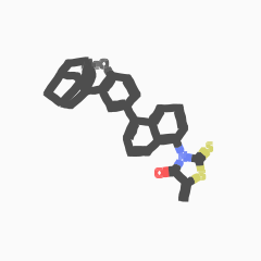 C=C1SC(=S)N(c2cccc3c(-c4ccc(OC)c(C56CC7CC(CC(C7)C5)C6)c4)cccc23)C1=O